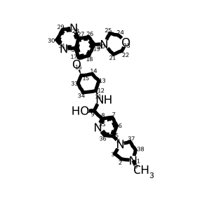 CN1CCN(c2ccc(C(O)N[C@H]3CC[C@@H](Oc4cc(N5CCOCC5)cc5nccnc45)CC3)nc2)CC1